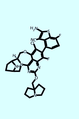 N#Cc1c(N)sc2c(F)ccc(-c3c(Cl)c4c5c(nc(OCC67CCCN6CCC7)nc5c3F)N3CC5CCC(N5)[C@H]3CO4)c12